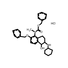 CN(C(=O)OCc1ccccc1)c1c(OCc2ccccc2)ccc2c1CCC(NC1CCCCC1)C2O.Cl